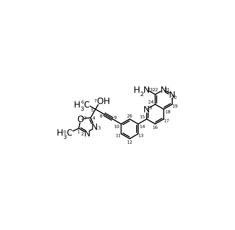 Cc1nnc(C(C)(O)C#Cc2cccc(-c3ccc4cnnc(N)c4n3)c2)o1